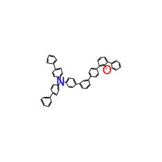 c1ccc(-c2ccc(N(c3ccc(-c4ccccc4)cc3)c3ccc(-c4cccc(-c5ccc(-c6cccc7c6oc6ccccc67)cc5)c4)cc3)cc2)cc1